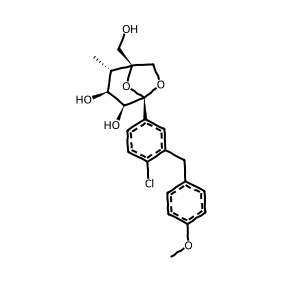 COc1ccc(Cc2cc([C@]34OC[C@](CO)(O3)[C@@H](C)[C@H](O)[C@@H]4O)ccc2Cl)cc1